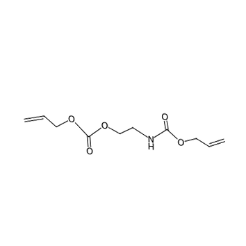 C=CCOC(=O)NCCOC(=O)OCC=C